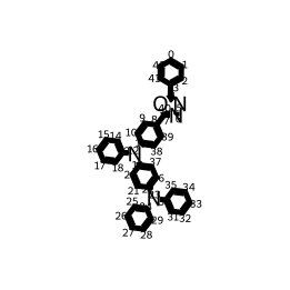 c1ccc(-c2nnc(-c3ccc(N(c4ccccc4)c4ccc(N(c5ccccc5)c5ccccc5)cc4)cc3)o2)cc1